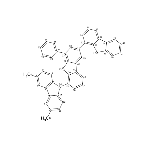 Cc1ccc2c(c1)c1cc(C)ccc1n2-c1cccc2c1sc1c(-c3ccccc3)cc(-c3cccc4c3sc3ccccc34)cc12